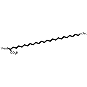 CCCCCCCCCCCCCCCCCCCCCCCCCCCCCCCCCCC(CCCCC)C(=O)O